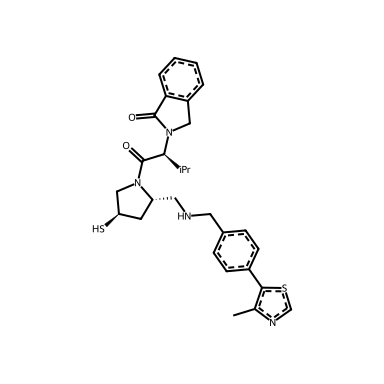 Cc1ncsc1-c1ccc(CNC[C@@H]2C[C@@H](S)CN2C(=O)[C@H](C(C)C)N2Cc3ccccc3C2=O)cc1